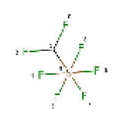 FC(F)S(F)(F)(F)(F)F